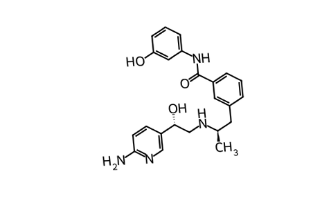 C[C@H](Cc1cccc(C(=O)Nc2cccc(O)c2)c1)NC[C@@H](O)c1ccc(N)nc1